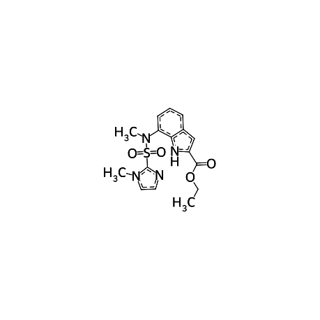 CCOC(=O)c1cc2cccc(N(C)S(=O)(=O)c3nccn3C)c2[nH]1